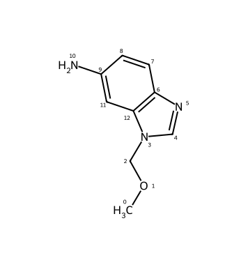 COCn1cnc2ccc(N)cc21